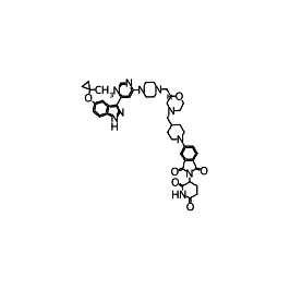 CC1(Oc2ccc3[nH]nc(-c4cc(N5CCN(C[C@@H]6CN(CC7CCN(c8ccc9c(c8)C(=O)N(C8CCC(=O)NC8=O)C9=O)CC7)CCO6)CC5)ncn4)c3c2)CC1